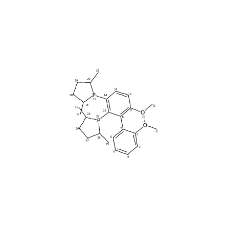 COc1ccccc1-c1c(OC)ccc(P2C(C)CCC2C)c1P1C(C)CCC1C